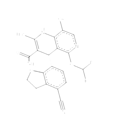 CC1=C(C(N)=O)[C@@H](c2ccc(C#N)c3c2OCC3)c2c(OC(F)F)ncc(C)c2N1